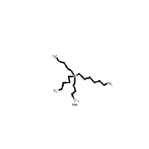 CCCCCCC[N+](CCCCC)(CCCCC)CCCCC.[OH-]